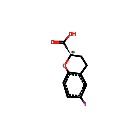 O=C(O)[C@@H]1CCc2cc(I)ccc2O1